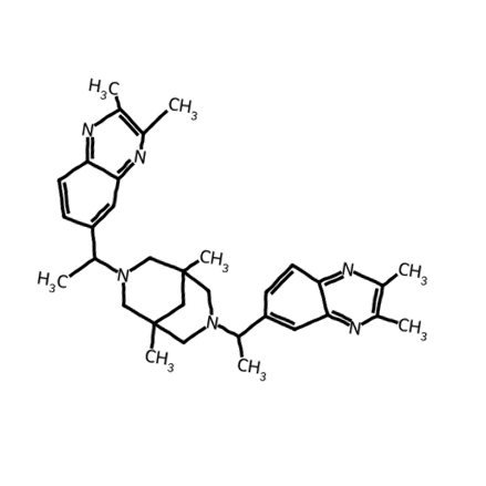 Cc1nc2ccc(C(C)N3CC4(C)CN(C(C)c5ccc6nc(C)c(C)nc6c5)CC(C)(C3)C4)cc2nc1C